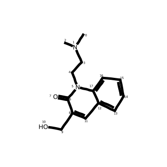 CN(C)CCn1c(=O)c(CO)cc2ccccc21